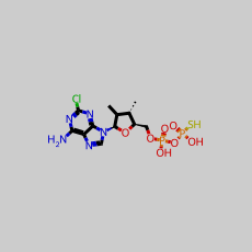 CC1[C@H](n2cnc3c(N)nc(Cl)nc32)O[C@H](COP(=O)(O)OP(=O)(O)S)[C@H]1C